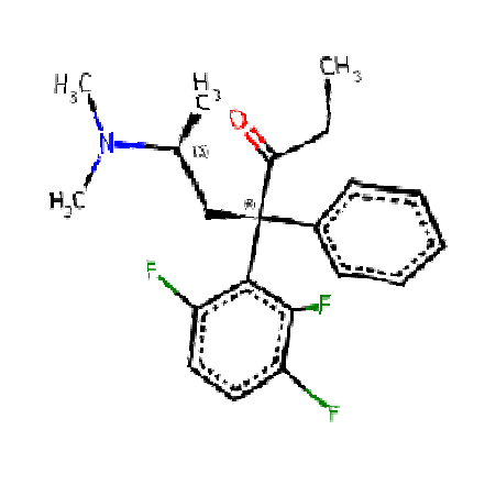 CCC(=O)[C@](C[C@H](C)N(C)C)(c1ccccc1)c1c(F)ccc(F)c1F